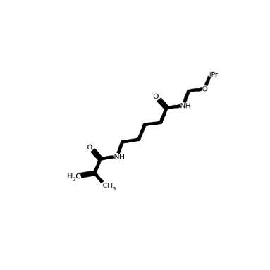 C=C(C)C(=O)NCCCCC(=O)NCOC(C)C